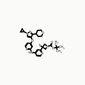 CC(C)(C)OC(=O)N1CC(F)(c2cc(Nc3cc(Oc4cn(C5CC5)nc4C4CCOCC4)ccn3)ccn2)C1